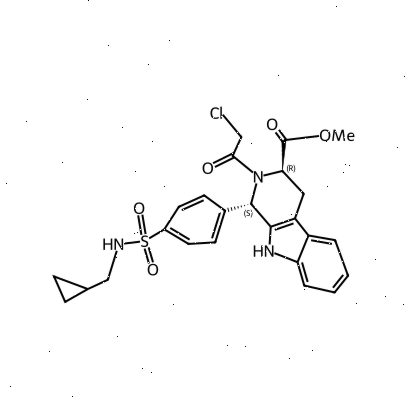 COC(=O)[C@H]1Cc2c([nH]c3ccccc23)[C@H](c2ccc(S(=O)(=O)NCC3CC3)cc2)N1C(=O)CCl